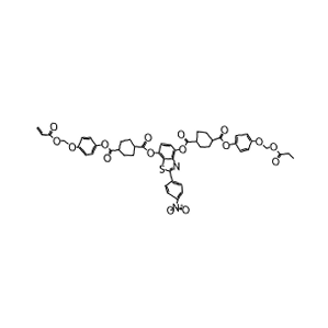 C=CC(=O)OCOc1ccc(OC(=O)C2CCC(C(=O)Oc3ccc(OC(=O)C4CCC(C(=O)Oc5ccc(OCOC(=O)CC)cc5)CC4)c4nc(-c5ccc([N+](=O)[O-])cc5)sc34)CC2)cc1